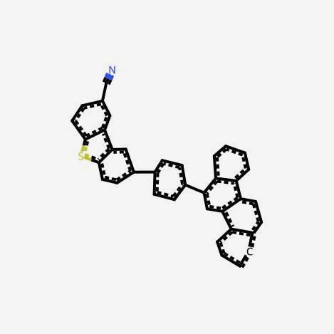 N#Cc1ccc2sc3ccc(-c4ccc(-c5cc6c7ccccc7ccc6c6ccccc56)cc4)cc3c2c1